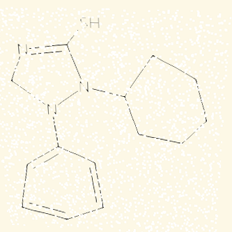 SC1=NCN(c2ccccc2)N1C1CCCCC1